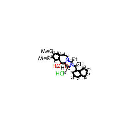 CCC(N1CCc2cc(OC)c(OC)cc2C(O)C1=O)N(C)C(C)c1cccc2ccccc12.Cl